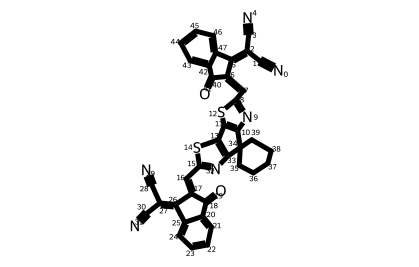 N#CC(C#N)=C1/C(=C/c2nc3c(s2)-c2sc(/C=C4\C(=O)c5ccccc5C4=C(C#N)C#N)nc2C32CCCCC2)C(=O)c2ccccc21